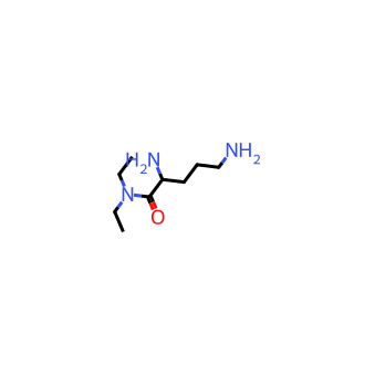 CCN(CC)C(=O)C(N)CCCN